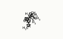 Cc1ccc(-c2cnc(Nc3nc(C(C)(C)C)c(CC(C)C)s3)c(C(=O)O)c2)s1